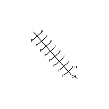 CC(O)(F)C(F)(F)C(F)(F)C(F)(F)C(F)(F)C(F)(F)C(F)(F)C(F)(F)F